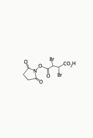 O=C(O)C(Br)C(Br)C(=O)ON1C(=O)CCC1=O